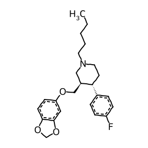 CCCCCN1CC[C@H](c2ccc(F)cc2)[C@@H](COc2ccc3c(c2)OCO3)C1